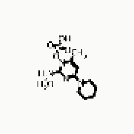 CC1=CC(N2CCCCC2)=NC(N)N1OS(=O)(=O)O.O